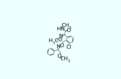 CNC(=O)/C(=N/OC)c1cccc(Cl)c1CO/N=C(\COC)c1ccccc1